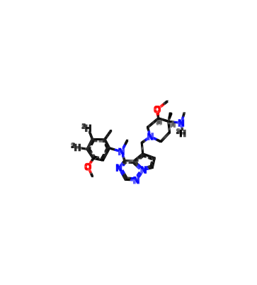 [2H]c1c(OC)cc(N(C)c2ncnn3ccc(CN4CC[C@@](C)(N([2H])C)[C@H](OC)C4)c23)c(C)c1[2H]